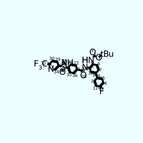 CC(C)(C)OC(=O)Nc1ccc(-c2ccc(F)cc2)cc1NC(=O)c1ccc(S(=N)(=O)c2ccc(C(F)(F)F)nc2)cc1